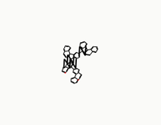 c1ccc2c(c1)ccc1ccc(-c3nc(-n4c5ccc(-n6c7ccccc7c7c8ccccc8ccc76)cc5c5c6ccccc6ccc54)nc4ccccc34)cc12